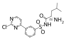 CC(C)C[C@H](N)C(=O)NS(=O)(=O)c1cccc(-c2ccnc(Cl)n2)c1